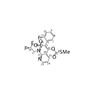 CSC(=O)OC1=C(c2ccccc2F)S(=O)(=O)N(CC(F)F)c2ncccc21